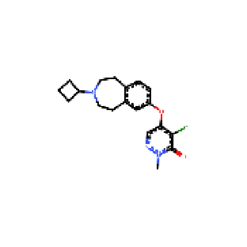 Cn1ncc(Oc2ccc3c(c2)CCN(C2CCC2)CC3)c(Cl)c1=O